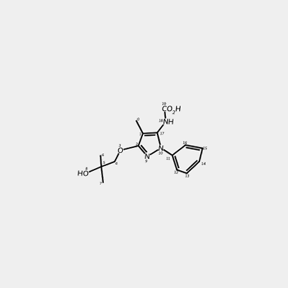 Cc1c(OCC(C)(C)O)nn(-c2ccccc2)c1NC(=O)O